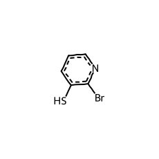 Sc1cccnc1Br